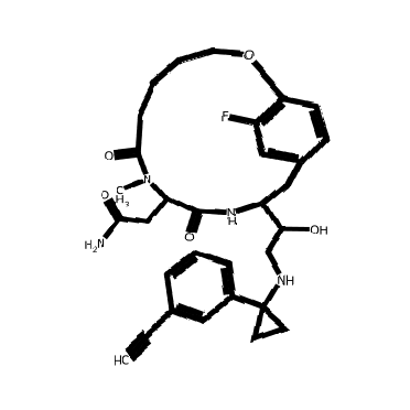 C#Cc1cccc(C2(NCC(O)C3Cc4ccc(c(F)c4)OCCCCC(=O)N(C)C(CC(N)=O)C(=O)N3)CC2)c1